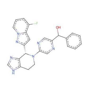 OC(c1ccccc1)c1cnc(N2CCc3[nH]cnc3[C@@H]2c2cc3c(F)cccn3n2)cn1